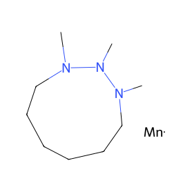 CN1CCCCCCN(C)N1C.[Mn]